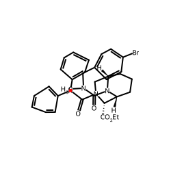 CCOC(=O)[C@H]1[C@H]2CCC[C@@H](CN1C(=O)N(c1ccccc1)c1ccccc1)N2C(=O)N(C)Cc1ccc(Br)cc1